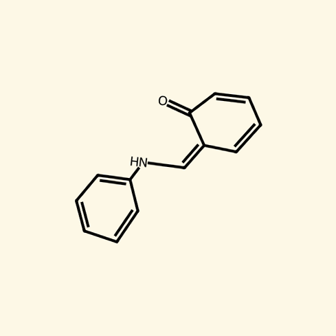 O=C1C=CC=C/C1=C/Nc1ccccc1